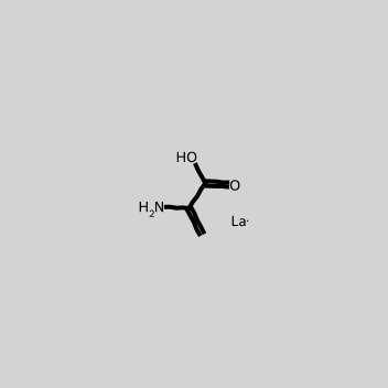 C=C(N)C(=O)O.[La]